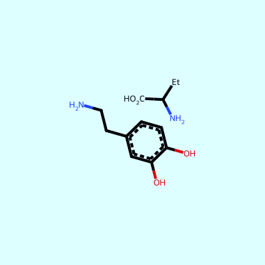 CCC(N)C(=O)O.NCCc1ccc(O)c(O)c1